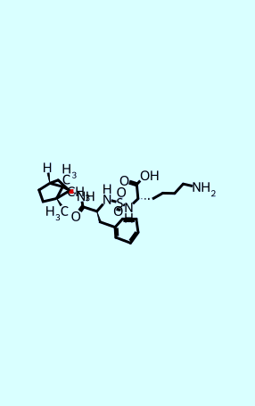 CC1(C)[C@@H]2CC[C@@]1(C)[C@@H](NC(=O)[C@H](Cc1ccccc1)NS(=O)(=O)N[C@@H](CCCCN)C(=O)O)C2